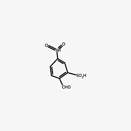 O=Cc1ccc([SH](=O)=O)cc1S(=O)(=O)O